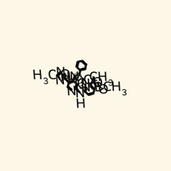 COB1OC(C)(C)c2nc(Nc3cc(N[C@H](CO)c4ccccc4)c(-c4nc(C)no4)cn3)ccc21